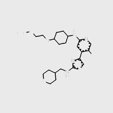 COCCNC1CCC(Nc2cc(-c3csc(NCC4CCOCC4)n3)c(Cl)cn2)CC1